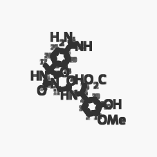 COc1ccc(C(CC(=O)O)NC(=O)CN2C(=O)NC(C)(c3ccc(C(=N)N)cc3)C2=O)cc1O